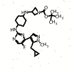 Cn1ncc(-c2nc(NC3CCC(NC4CN(C(=O)OC(C)(C)C)C4)CC3)ncc2F)c1CC1CC1